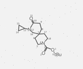 CC(C)(C)OC(=O)N1CCC2(CCC(=O)N(C3CC3)C2)CC1